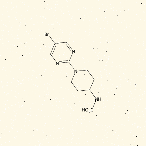 O=C(O)NC1CCN(c2ncc(Br)cn2)CC1